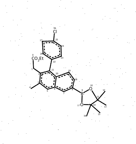 CCOC(=O)Cc1c(C)cc2cc(B3OC(C)(C)C(C)(C)O3)ccc2c1-c1ccc(Cl)cc1